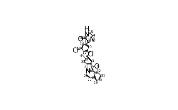 O=C(c1ccc(Cc2c(Cl)cc(N3N=CCNC3=O)cc2Cl)cc1)c1nccc2ccccc12